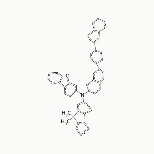 CC1(C)c2ccccc2-c2ccc(N(c3ccc4ccc(-c5ccc(-c6ccc7ccccc7c6)cc5)cc4c3)c3ccc4c(c3)oc3ccccc34)cc21